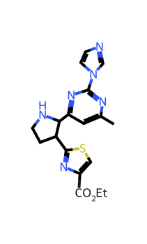 CCOC(=O)c1csc(C2CCNC2c2cc(C)nc(-n3ccnc3)n2)n1